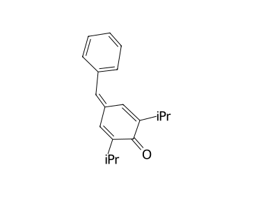 CC(C)C1=CC(=Cc2ccccc2)C=C(C(C)C)C1=O